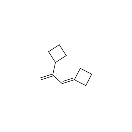 C=C(C=C1[CH]CC1)C1CCC1